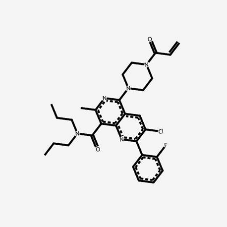 C=CC(=O)N1CCN(c2nc(C)c(C(=O)N(CCC)CCC)c3nc(-c4ccccc4F)c(Cl)cc23)CC1